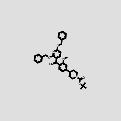 CNc1cc(C2=CCN(C(=O)OC(C)(C)C)CC2)ccc1C(=N)c1ccc(OCc2ccccc2)nc1OCc1ccccc1